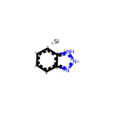 [Si].c1ccc2[nH]nnc2c1